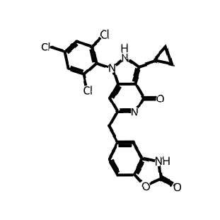 O=c1[nH]c2cc(Cc3cc4n(-c5c(Cl)cc(Cl)cc5Cl)[nH]c(C5CC5)c-4c(=O)n3)ccc2o1